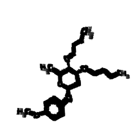 CCCCO[C@@H]1C[C@@H](Oc2ccc(OC)cc2)OC(C)[C@@H]1OCCCC